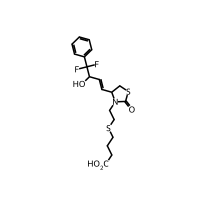 O=C(O)CCCSCCN1C(=O)SCC1C=CC(O)C(F)(F)c1ccccc1